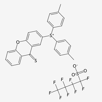 Cc1ccc([S+](c2ccc(C)cc2)c2ccc3oc4ccccc4c(=S)c3c2)cc1.O=S(=O)([O-])C(F)(F)C(F)(F)C(F)(F)C(F)(F)F